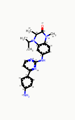 CC(C)N1c2cc(Nc3nccc(-c4ccc(N)cc4)n3)ccc2N(C)C(=O)C1C